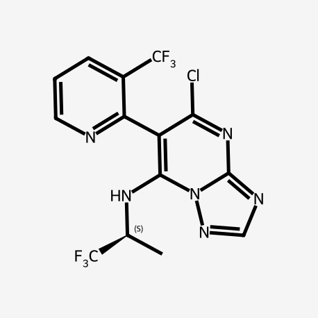 C[C@H](Nc1c(-c2ncccc2C(F)(F)F)c(Cl)nc2ncnn12)C(F)(F)F